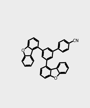 N#Cc1ccc(-c2cc(-c3cccc4oc5ccccc5c34)cc(-c3cccc4oc5ccccc5c34)c2)cc1